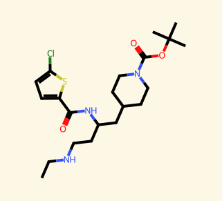 CCNCCC(CC1CCN(C(=O)OC(C)(C)C)CC1)NC(=O)c1ccc(Cl)s1